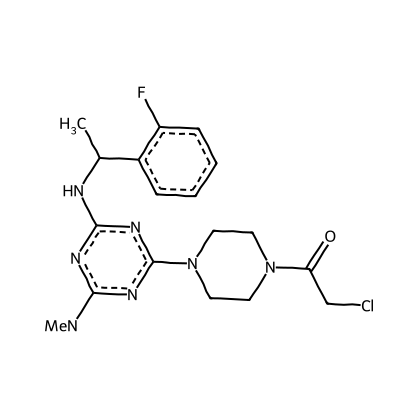 CNc1nc(NC(C)c2ccccc2F)nc(N2CCN(C(=O)CCl)CC2)n1